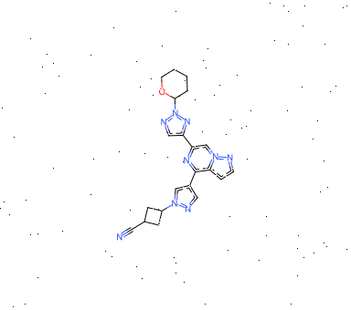 N#CC1CC(n2cc(-c3nc(-c4cnn(C5CCCCO5)n4)cn4nccc34)cn2)C1